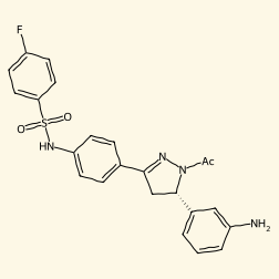 CC(=O)N1N=C(c2ccc(NS(=O)(=O)c3ccc(F)cc3)cc2)C[C@H]1c1cccc(N)c1